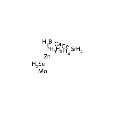 B.P.[CaH2].[GeH4].[Mo].[SeH2].[SrH2].[Zn]